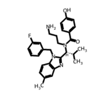 Cc1ccc2c(c1)nc([C@@H](C(C)C)N(CCCN)C(=O)c1ccc(O)cc1)n2Cc1cccc(F)c1